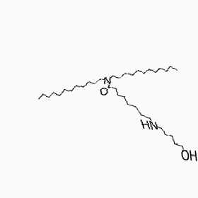 CCCCCCCCCCCCN(CCCCCCCCCCCC)C(=O)CCCCCCCNCCCCCO